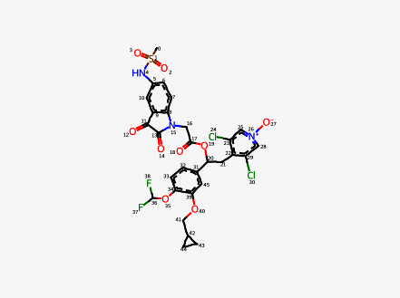 CS(=O)(=O)Nc1ccc2c(c1)C(=O)C(=O)N2CC(=O)OC(Cc1c(Cl)c[n+]([O-])cc1Cl)c1ccc(OC(F)F)c(OCC2CC2)c1